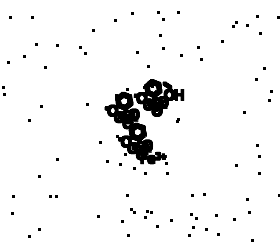 CCO.COc1ccccc1S(=O)(=O)[O-].COc1ccccc1S(=O)(=O)[O-].COc1ccccc1S(=O)(=O)[O-].[Fe+3]